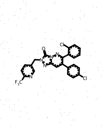 O=c1n(Cc2ccc(C(F)(F)F)nc2)nc2cc(-c3ccc(Cl)cc3)c(-c3ccccc3Cl)nn12